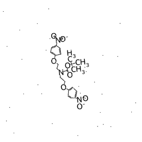 CC(C)(C)OC(=O)N(CCOc1ccc([N+](=O)[O-])cc1)CCOc1ccc([N+](=O)[O-])cc1